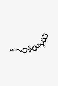 COCCN1CCN(S(=O)(=O)c2ccc(CNC(=O)c3cc4ccncc4o3)cc2)CC1